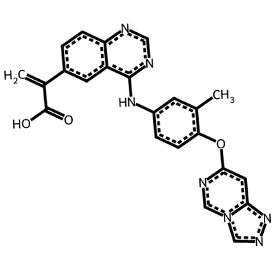 C=C(C(=O)O)c1ccc2ncnc(Nc3ccc(Oc4cc5nncn5cn4)c(C)c3)c2c1